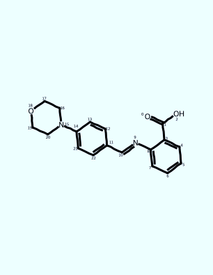 O=C(O)c1ccccc1N=Cc1ccc(N2CCOCC2)cc1